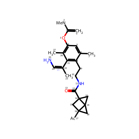 C=C(NC)Oc1cc(C)c(CCNC(=O)C23CC4(C(C)=O)CC42C3)c(/C(C)=C\N)c1C